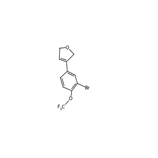 FC(F)(F)Oc1ccc(C2=CCOC2)cc1Br